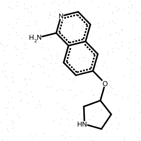 Nc1nccc2cc(OC3CCNC3)ccc12